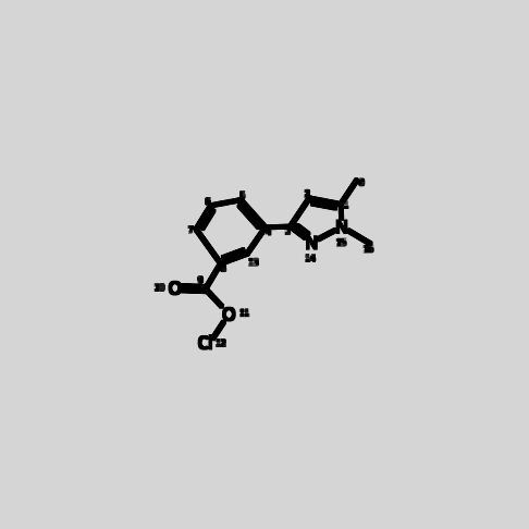 Cc1cc(-c2cccc(C(=O)OCl)c2)nn1C